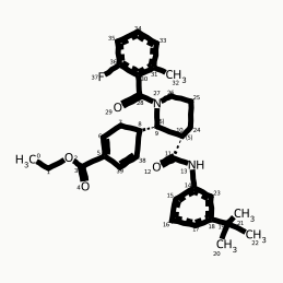 CCOC(=O)C1=CCC([C@H]2[C@@H](C(=O)Nc3cccc(C(C)(C)C)c3)CCCN2C(=O)c2c(C)cccc2F)C=C1